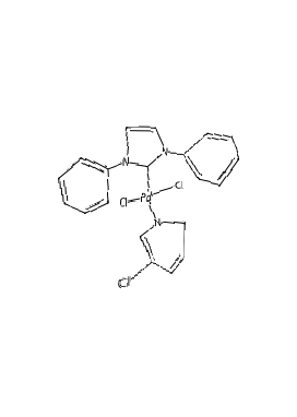 ClC1=C[N]([Pd]([Cl])([Cl])[CH]2N(c3ccccc3)C=CN2c2ccccc2)CC=C1